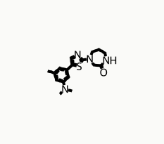 Cc1cc(-c2cnc(N3CCCNC(=O)C3)s2)cc(N(C)C)c1